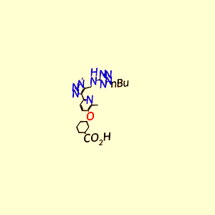 CCCCn1nnc(NCc2c(-c3ccc(O[C@H]4CCC[C@H](C(=O)O)C4)c(C)n3)nnn2C)n1